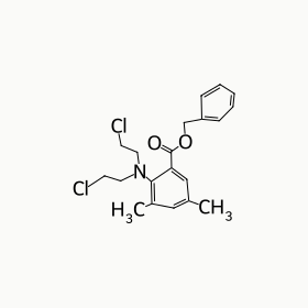 Cc1cc(C)c(N(CCCl)CCCl)c(C(=O)OCc2ccccc2)c1